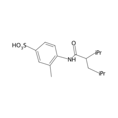 Cc1cc(S(=O)(=O)O)ccc1NC(=O)C(CC(C)C)C(C)C